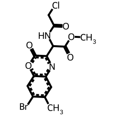 COC(=O)C(NC(=O)CCl)c1nc2cc(C)c(Br)cc2oc1=O